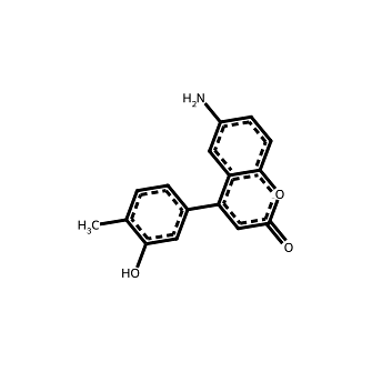 Cc1ccc(-c2cc(=O)oc3ccc(N)cc23)cc1O